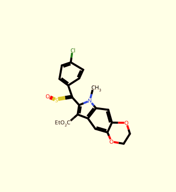 CCOC(=O)c1c(C(=S=O)c2ccc(Cl)cc2)n(C)c2cc3c(cc12)OCCO3